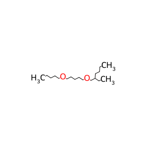 CCCCCOCCCCCOCC(CC)CCCC